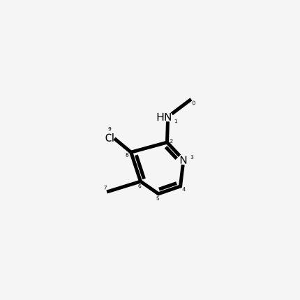 CNc1nccc(C)c1Cl